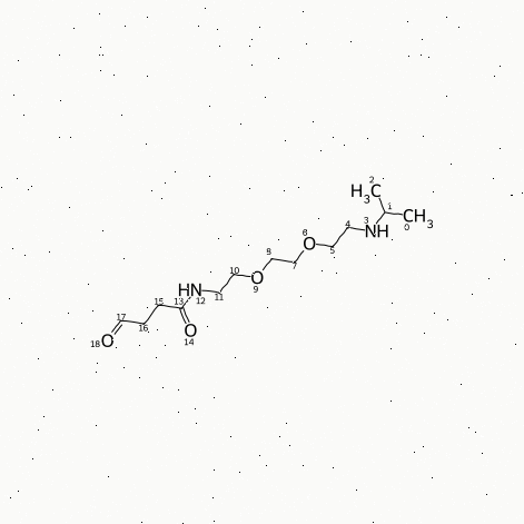 CC(C)NCCOCCOCCNC(=O)CCC=O